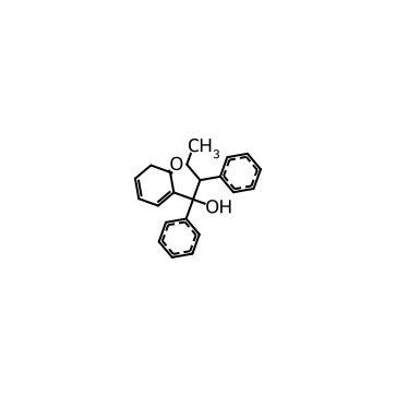 CCC(c1ccccc1)C(O)(C1=CC=CCC1=O)c1ccccc1